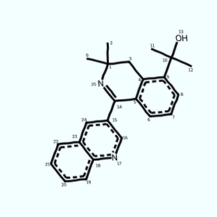 CC1(C)Cc2c(cccc2C(C)(C)O)C(c2cnc3ccccc3c2)=N1